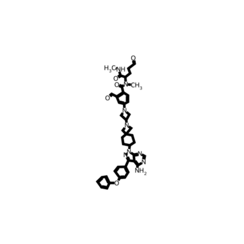 CNC(=O)C(CCC=O)N(C)C(=O)c1ccc(N2CC(N3CC4(CCC(n5nc(-c6ccc(Oc7ccccc7)cc6)c6c(N)ncnc65)CC4)C3)C2)cc1C=O